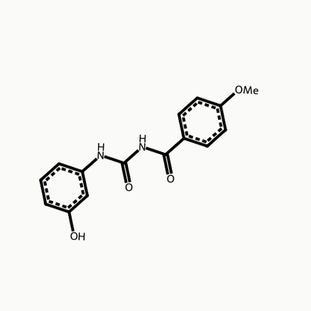 COc1ccc(C(=O)NC(=O)Nc2cccc(O)c2)cc1